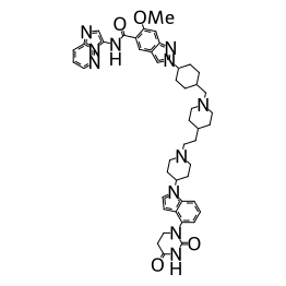 COc1cc2nn(C3CCC(CN4CCC(CCN5CCC(n6ccc7c(N8CCC(=O)NC8=O)cccc76)CC5)CC4)CC3)cc2cc1C(=O)Nc1cnc2cccnn12